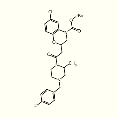 CC1CN(Cc2ccc(F)cc2)CCN1C(=O)CC1CN(C(=O)OC(C)(C)C)c2cc(Cl)ccc2O1